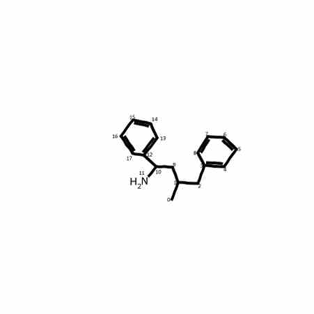 CC(Cc1ccccc1)CC(N)c1ccccc1